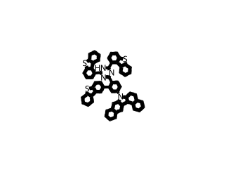 c1ccc2cc3c(cc2c1)c1c2ccccc2ccc1n3-c1ccc(C2=NC(c3cccc4sc5ccccc5c34)NC(c3cccc4sc5ccccc5c34)=N2)c(-c2ccc3sc4ccccc4c3c2)c1